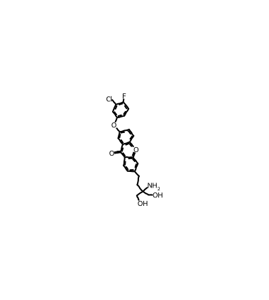 NC(CO)(CO)CCc1ccc2c(=O)c3cc(Oc4ccc(F)c(Cl)c4)ccc3oc2c1